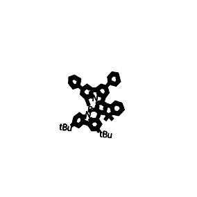 CC(C)(C)c1ccc2c(c1)c1cc(C(C)(C)C)cc3c1n2B1c2cc(-c4ccccc4)cc4c5cc(-c6ccccc6)cc6c7c8c(c-3c1c7n(c24)c56)C(C)(C)c1ccccc1-8